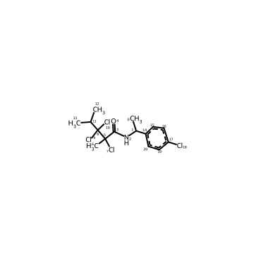 CC(NC(=O)C(C)(Cl)C(Cl)(Cl)C(C)C)c1ccc(Cl)cc1